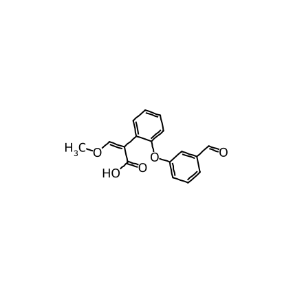 COC=C(C(=O)O)c1ccccc1Oc1cccc(C=O)c1